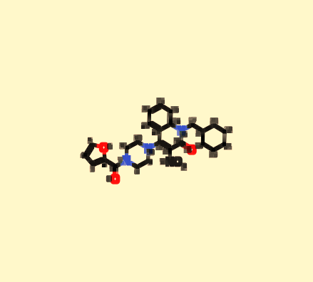 O=C(c1ccco1)N1CCN(c2c([N+](=O)[O-])c(=O)n(CC3CCCCC3)c3ccccc23)CC1